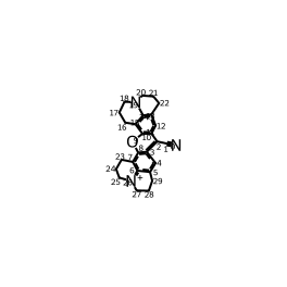 N#CC1=c2cc3c4c(c2Oc2c1cc1c5c2CCCN5CCC1)CCC[N+]=4CCC3